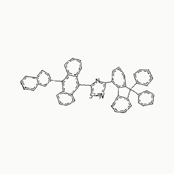 c1ccc(C2(c3ccccc3)c3ccccc3-c3c(-c4nsc(-c5c6ccccc6c(-c6ccc7ccccc7c6)c6ccccc56)n4)cccc32)cc1